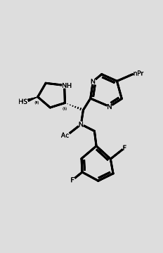 CCCc1cnc(C([C@@H]2C[C@@H](S)CN2)N(Cc2cc(F)ccc2F)C(C)=O)nc1